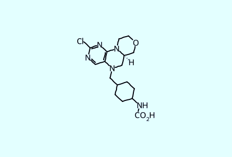 O=C(O)NC1CCC(CN2C[C@@H]3COCCN3c3nc(Cl)ncc32)CC1